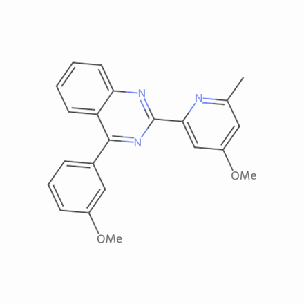 COc1cccc(-c2nc(-c3cc(OC)cc(C)n3)nc3ccccc23)c1